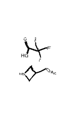 CC(=O)OC1CNC1.O=C(O)C(F)(F)F